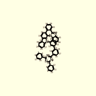 c1ccc(-c2nc(-c3ccccc3)nc(-c3cccc(-c4cccc(-n5c6ccccc6c6ccc7c8ccccc8c8nc9ccccc9n8c7c65)c4)c3)n2)cc1